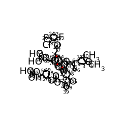 COc1ccc(CN(C(=O)C2C(c3ccc(CCCOc4c(F)ccc(F)c4Cl)cc3)CC3CC(C(=O)N4CCCC4COC(=O)Oc4cccc(CON(O)O)c4)CC2N3C(=O)Oc2cccc(CON(O)O)c2)C2CC2)cc1C